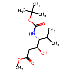 COC(=O)C[C@H](O)[C@H](NC(=O)OC(C)(C)C)C(C)C